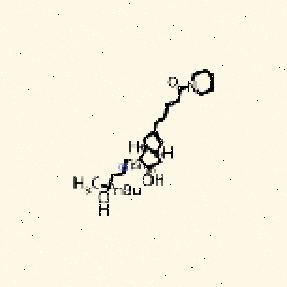 CCCC[C@@](C)(O)C/C=C/[C@@H]1[C@H]2CC(CCCCC(=O)N3CCCCC3)=C[C@H]2C[C@H]1O